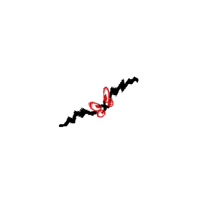 CCCCCCCCC1OCC2(CO1)COC(CCCCCCCC)OC2